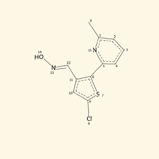 Cc1cccc(-c2sc(Cl)cc2/C=N/O)n1